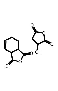 O=C1CC(O)C(=O)O1.O=C1OC(=O)C2CCC=CC12